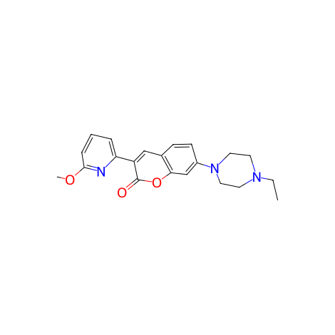 CCN1CCN(c2ccc3cc(-c4cccc(OC)n4)c(=O)oc3c2)CC1